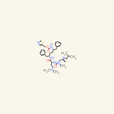 CC(C)c1nc(CN(C)C(=O)NC(CCN(C)C)C(=O)NC(CCC(Cc2ccccc2)NC(=O)OCc2cncs2)Cc2ccccc2)cs1